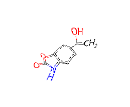 C=C(O)c1ccc2[nH]c(=O)oc2c1